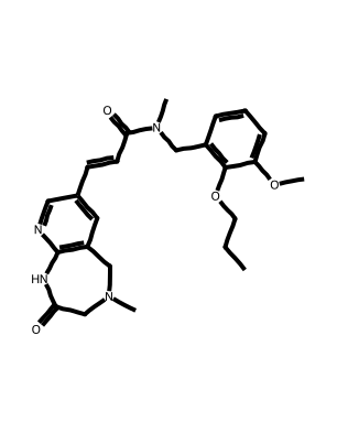 CCCOc1c(CN(C)C(=O)C=Cc2cnc3c(c2)CN(C)CC(=O)N3)cccc1OC